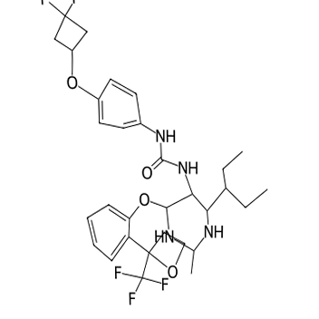 CCC(CC)C1NC(C)NC(Oc2ccccc2C2(C(F)(F)F)CCO2)C1NC(=O)Nc1ccc(OC2CC(F)(F)C2)cc1